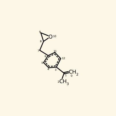 C=C(C)c1ccc(CC2CO2)cc1